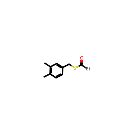 CCC(=O)SCc1ccc(C)c(C)c1